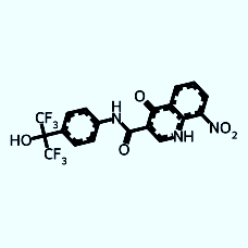 O=C(Nc1ccc(C(O)(C(F)(F)F)C(F)(F)F)cc1)c1c[nH]c2c([N+](=O)[O-])cccc2c1=O